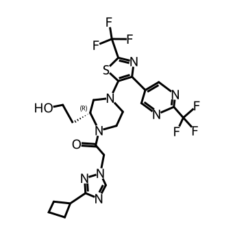 O=C(Cn1cnc(C2CCC2)n1)N1CCN(c2sc(C(F)(F)F)nc2-c2cnc(C(F)(F)F)nc2)C[C@H]1CCO